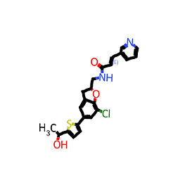 CC(O)c1ccc(-c2cc(Cl)c3c(c2)CC(CNC(=O)/C=C/c2cccnc2)O3)s1